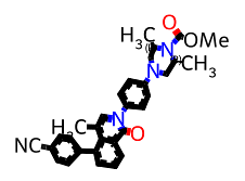 COC(=O)N1[C@H](C)CN(c2ccc(-n3cc(C)c4c(-c5ccc(C#N)cc5)cccc4c3=O)cc2)C[C@H]1C